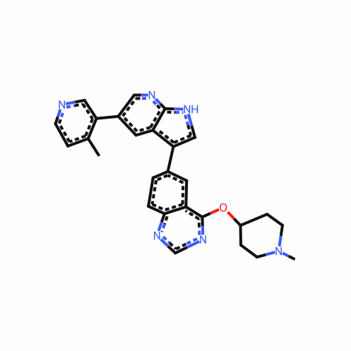 Cc1ccncc1-c1cnc2[nH]cc(-c3ccc4ncnc(OC5CCN(C)CC5)c4c3)c2c1